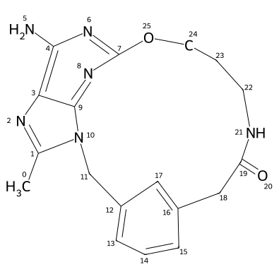 Cc1nc2c(N)nc3nc2n1Cc1cccc(c1)CC(=O)NCCCO3